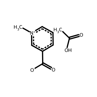 CC(=O)O.C[n+]1cccc(C(=O)[O-])c1